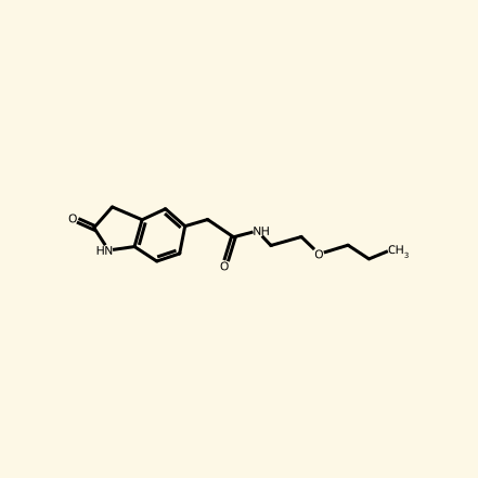 CCCOCCNC(=O)Cc1ccc2c(c1)CC(=O)N2